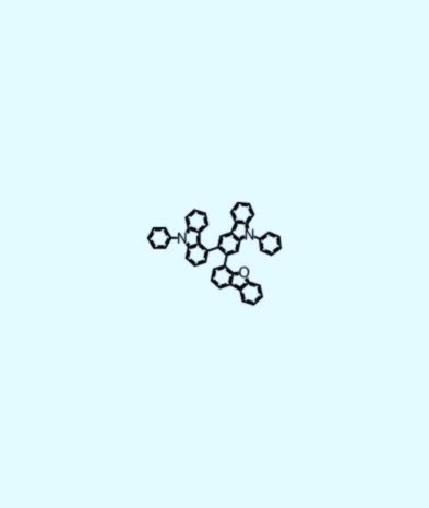 c1ccc(-n2c3ccccc3c3cc(-c4cccc5c4c4ccccc4n5-c4ccccc4)c(-c4cccc5c4oc4ccccc45)cc32)cc1